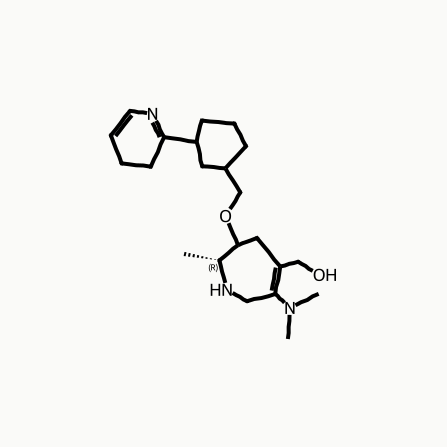 C[C@H]1NCC(N(C)C)=C(CO)CC1OCC1CCCC(C2=NC=CCC2)C1